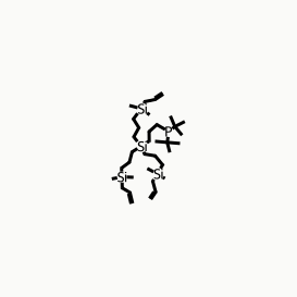 C=CC[Si](C)(C)CCC[Si](CCCP(C(C)(C)C)C(C)(C)C)(CCC[Si](C)(C)CC=C)CCC[Si](C)(C)CC=C